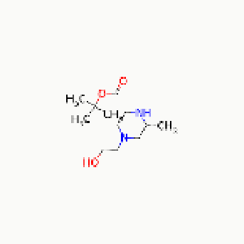 CC(C)(C)OC=O.CC1CN(CCO)CCN1